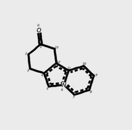 O=C1CCc2cn3ccccc3c2C1